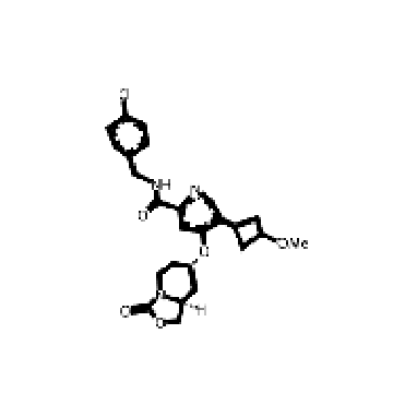 COC1CC(c2cnc(C(=O)NCc3ccc(Cl)cc3)cc2O[C@H]2CCN3C(=O)OC[C@@H]3C2)C1